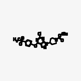 CC(C)(C)OC(=O)N1CCC(n2ncc3c(Oc4ccc(S(C)(=O)=O)cc4)nc(Cl)nc32)CC1